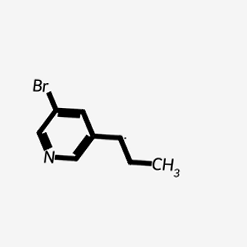 CC[CH]c1cncc(Br)c1